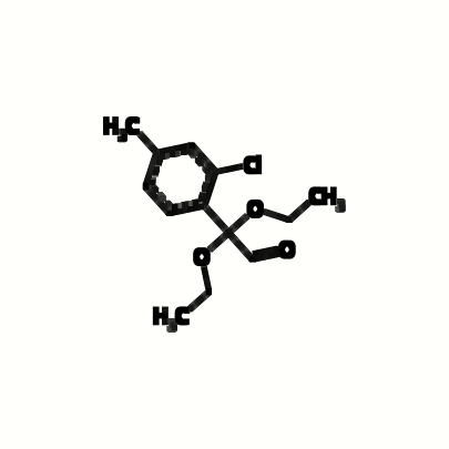 CCOC(C=O)(OCC)c1ccc(C)cc1Cl